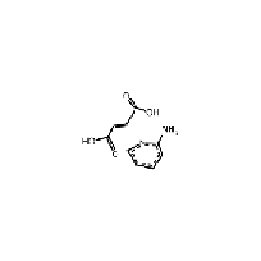 Nc1ccccn1.O=C(O)/C=C/C(=O)O